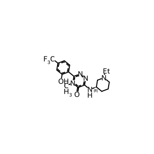 CCN1CCC[C@@H](Nc2nnc(-c3ccc(C(F)(F)F)cc3O)n(C)c2=O)C1